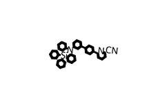 N#Cc1cccc(-c2ccc(-c3cccc(N4c5ccccc5[Si](c5ccccc5)(c5ccccc5)c5ccccc54)c3)cc2)n1